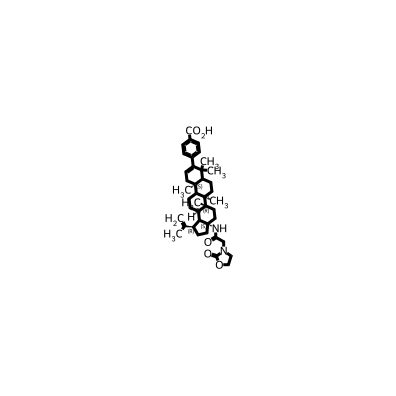 C=C(C)[C@@H]1CC[C@]2(NC(=O)CN3CCOC3=O)CC[C@]3(C)[C@H](CCC4[C@@]5(C)CC=C(c6ccc(C(=O)O)cc6)C(C)(C)C5CC[C@]43C)C12